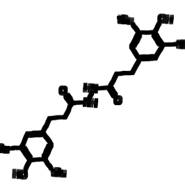 CC(C)(C)c1cc(CCC(=O)NNC(=O)CCc2cc(C(C)(C)C)c(O)c(C(C)(C)C)c2)cc(C(C)(C)C)c1O